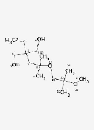 CCC(CO)(CO)CC(C)(C)OCC(C)(C)OC